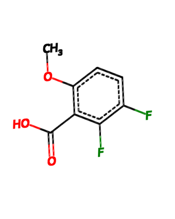 COc1ccc(F)c(F)c1C(=O)O